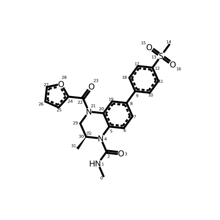 CNC(=O)N1c2ccc(-c3ccc(S(C)(=O)=O)cc3)cc2N(C(=O)c2ccco2)C[C@@H]1C